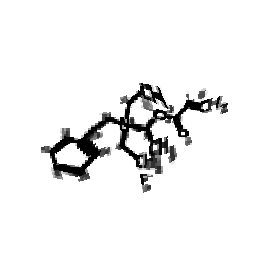 C=CC(=O)OC(C)[N+](CC)(CC)Cc1ccccc1.[F-]